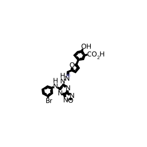 O=C(O)c1cc(-c2ccc(/C=N/Nc3nc4nonc4nc3Nc3cccc(Br)c3)o2)ccc1O